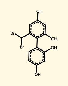 Oc1ccc(-c2c(O)cc(O)cc2C(Br)Br)c(O)c1